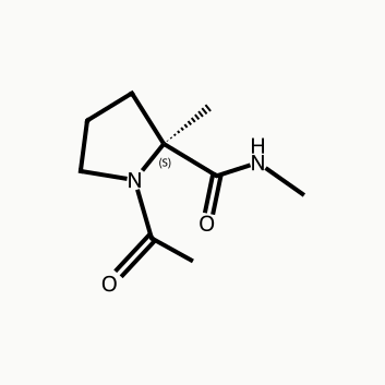 CNC(=O)[C@]1(C)CCCN1C(C)=O